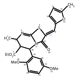 CCOC(=O)C1C(C)N=c2s/c(=C\c3ccc(C)o3)c(=O)n2C1c1cc(OC)ccc1OC